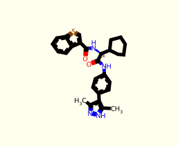 Cc1n[nH]c(C)c1-c1ccc(NC(=O)[C@@H](NC(=O)c2csc3ccccc23)C2CCCCC2)cc1